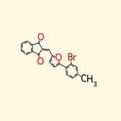 Cc1ccc(-c2ccc(C=C3C(=O)c4ccccc4C3=O)o2)c(Br)c1